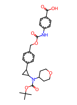 CC(C)(C)OC(=O)N(C1CCOCC1)C1CC1c1ccc(COC(=O)Nc2ccc(C(=O)O)cc2)cc1